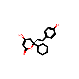 O=C1C=C(O)C[C@@](CCc2ccc(O)cc2)(C2CCCCC2)O1